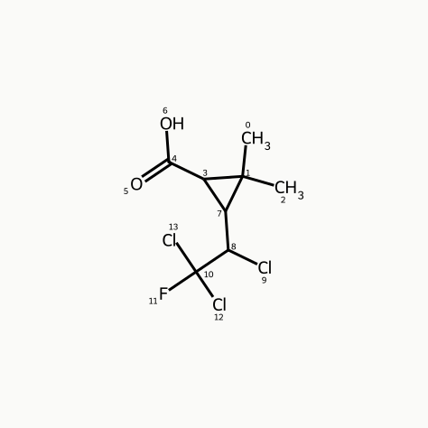 CC1(C)C(C(=O)O)C1C(Cl)C(F)(Cl)Cl